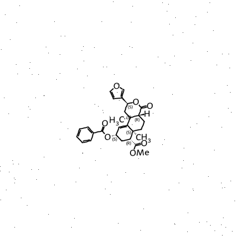 COC(=O)[C@@H]1C[C@H](OC(=O)c2ccccc2)C=C2[C@@]1(C)CC[C@H]1C(=O)O[C@H](c3ccoc3)C[C@]21C